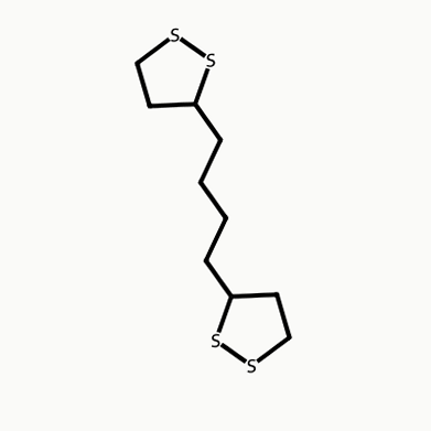 C(CCC1CCSS1)CC1CCSS1